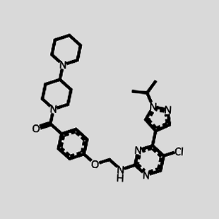 CC(C)n1cc(-c2nc(NCOc3ccc(C(=O)N4CCC(N5CCCCC5)CC4)cc3)ncc2Cl)cn1